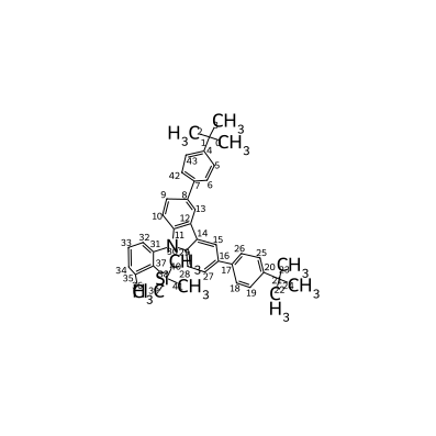 CC(C)(C)c1ccc(-c2ccc3c(c2)c2cc(-c4ccc(C(C)(C)C)cc4)ccc2n3-c2cccc(Cl)c2[Si](C)(C)C)cc1